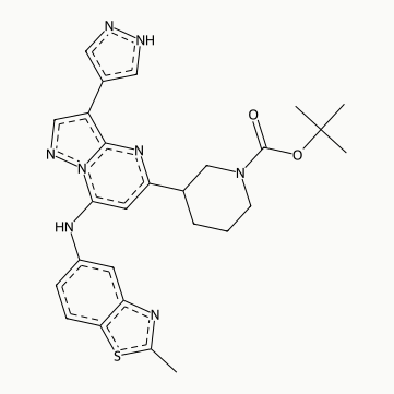 Cc1nc2cc(Nc3cc(C4CCCN(C(=O)OC(C)(C)C)C4)nc4c(-c5cn[nH]c5)cnn34)ccc2s1